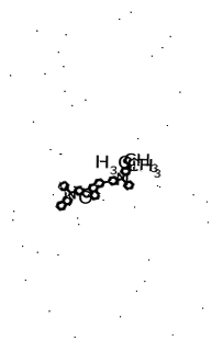 C[Si](C)(C)c1ccc(N(c2ccccc2)c2ccc(-c3ccc4cc5c6c(cccc6c4c3)Oc3cc(N(c4ccccc4)c4ccc6ccccc6c4)ccc3-5)cc2)cc1